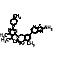 Cc1cc(-c2cnc3sc(N)nc3c2)cc2c1OCCN(c1nc(N3CCN(C)CC3)nc(C)c1C(C)C)C2